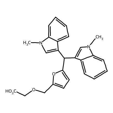 Cn1cc(C(c2ccc(COCC(=O)O)o2)c2cn(C)c3ccccc23)c2ccccc21